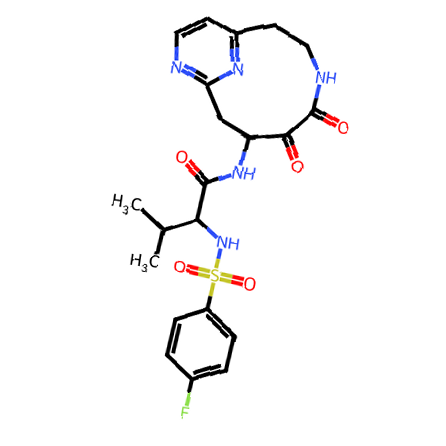 CC(C)C(NS(=O)(=O)c1ccc(F)cc1)C(=O)NC1Cc2nccc(n2)CCNC(=O)C1=O